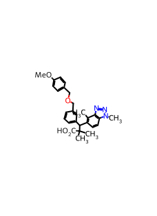 COc1ccc(COCc2cccc(C(c3ccc4c(nnn4C)c3C)C(C)(C)C(=O)O)c2)cc1